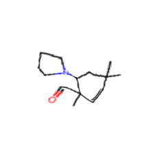 CC1(C)C=CC(C)(C=O)C(N2CCCC2)C1